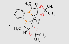 C[C@H]1C2OC(C)(C)O[C@@H]2[C@H](C)P1c1ccccc1P1[C@@H](C)C2OC(C)(C)O[C@@H]2[C@@H]1C